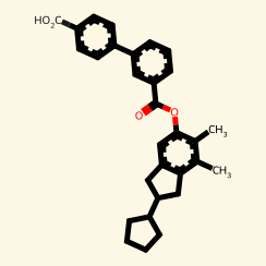 Cc1c(OC(=O)c2cccc(-c3ccc(C(=O)O)cc3)c2)cc2c(c1C)CC(C1CCCC1)C2